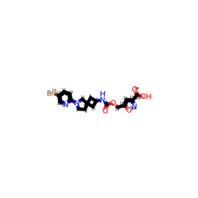 O=C(NC1CC2(CCN(c3ccc(Br)cn3)C2)C1)OCc1cc(C(=O)O)no1